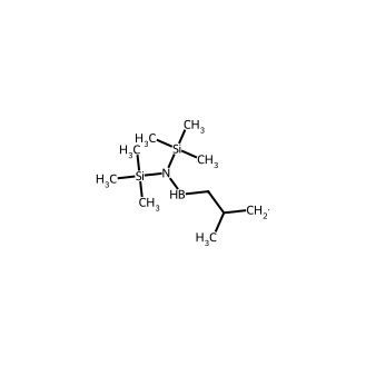 [CH2]C(C)CBN([Si](C)(C)C)[Si](C)(C)C